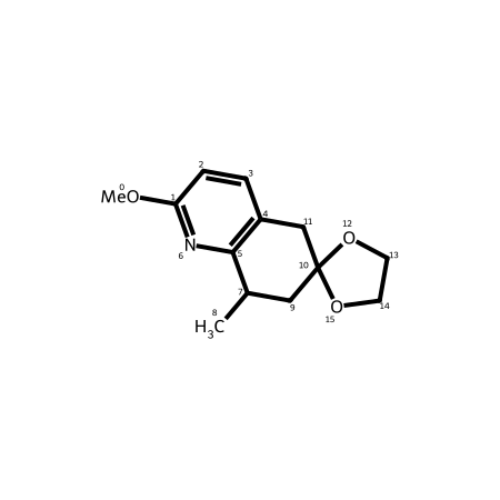 COc1ccc2c(n1)C(C)CC1(C2)OCCO1